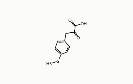 O=C(O)C(=O)Cc1ccc(SS)cc1